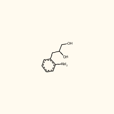 Nc1ccccc1CC(O)CO